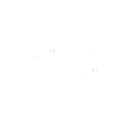 CCc1cc(-c2cccc(/C(=C/C(C)C)c3ccccc3)c2)ccc1C(F)(F)F